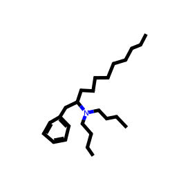 CCCCCCCCCC(Cc1ccccc1)N(CCCC)CCCC